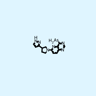 [AsH2]c1ncnc2ccc(N3CCC(c4cc[nH]n4)C3)nc12